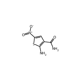 NC(=O)c1cc([N+](=O)[O-])sc1N